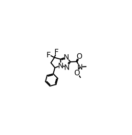 CON(C)C(=O)c1nc2n(n1)C(c1ccccc1)CC2(F)F